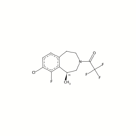 C[C@@H]1CN(C(=O)C(F)(F)F)CCc2ccc(Cl)c(F)c21